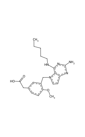 CCCCCNc1nc(N)nc2ccn(Cc3cc(CC(=O)O)ccc3OC)c12